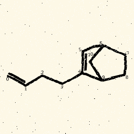 C=CCCC1=CC2CCC1C2